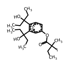 CCC(C)(I)C(=O)Oc1cc2oc1c(C(O)(CC)CC)c2C(O)(CC)CC